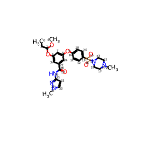 CCC(OC)Oc1cc(Oc2ccc(S(=O)(=O)N3CCN(C)CC3)cc2)cc(C(=O)Nc2ccn(C)n2)c1